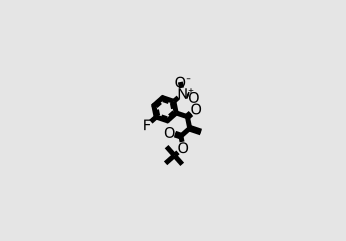 C=C(C(=O)OC(C)(C)C)C(=O)c1cc(F)ccc1[N+](=O)[O-]